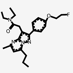 CCCc1cc(C)nc2c(CC(=O)N(CC)CC)c(-c3ccc(OCCF)cc3)nn12